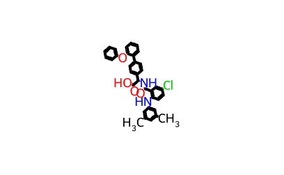 Cc1cc(C)cc(Nc2ccc(Cl)cc2C(=O)N[C@H](C(=O)O)c2ccc(-c3ccccc3Oc3ccccc3)cc2)c1